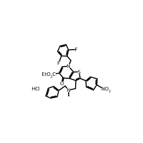 CCOC(=O)c1cn(Cc2c(F)cccc2F)c2sc(-c3ccc([N+](=O)[O-])cc3)c(CN(C)Cc3ccccc3)c2c1=O.Cl